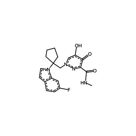 CNC(=O)c1nn(CC2(n3ccc4ccc(F)cc43)CCCC2)cc(O)c1=O